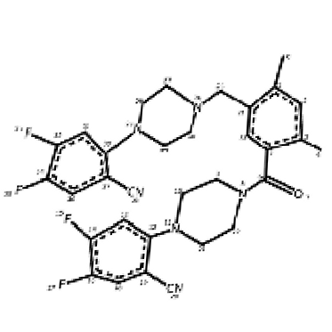 Cc1cc(C)c(C(=O)N2CCN(c3cc(F)c(F)cc3C#N)CC2)cc1CN1CCN(c2cc(F)c(F)cc2C#N)CC1